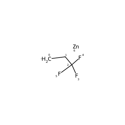 [CH2]CC(F)(F)F.[Zn]